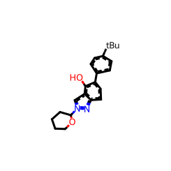 CC(C)(C)c1ccc(-c2ccc3nn(C4CCCCO4)cc3c2O)cc1